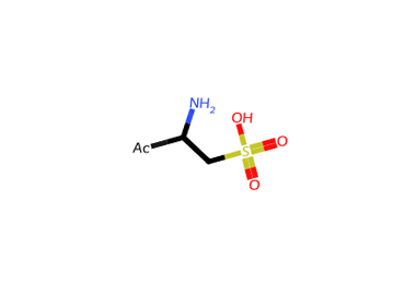 CC(=O)C(N)CS(=O)(=O)O